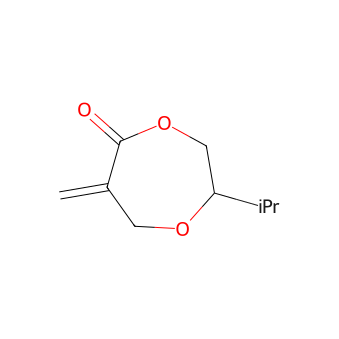 C=C1COC(C(C)C)COC1=O